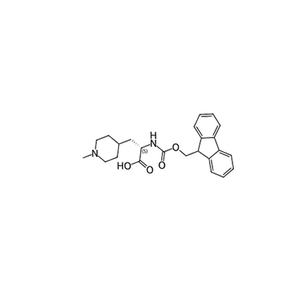 CN1CCC(C[C@H](NC(=O)OCC2c3ccccc3-c3ccccc32)C(=O)O)CC1